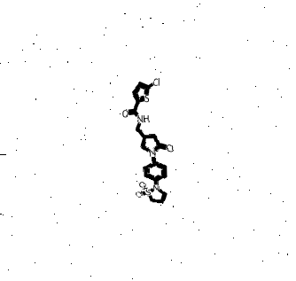 O=C(NCC1CC(=O)N(c2ccc(N3CCCS3(=O)=O)cc2)C1)c1ccc(Cl)s1